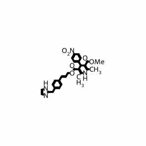 COC(=O)C1=C(C)NC(C)=C(C(=O)OCC=Cc2ccc(Cc3ncc[nH]3)cc2)C1c1ccc([N+](=O)[O-])cc1